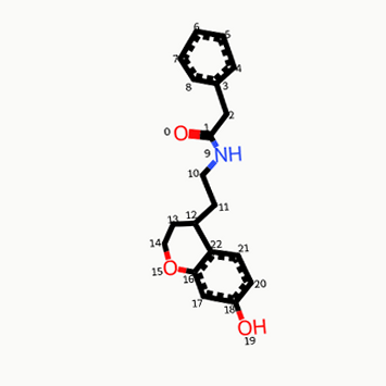 O=C(Cc1ccccc1)NCCC1CCOc2cc(O)ccc21